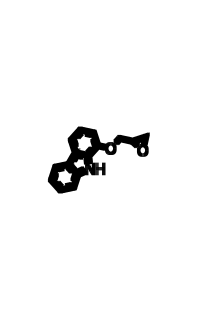 c1ccc2c(c1)[nH]c1c(OCC3CO3)cccc12